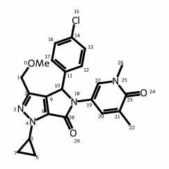 COCc1nn(C2CC2)c2c1C(c1ccc(Cl)cc1)N(c1cc(C)c(=O)n(C)c1)C2=O